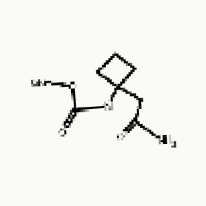 CC(C)(C)OC(=O)NC1(CC(N)=O)CCC1